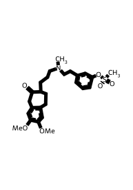 COc1cc2c(cc1OC)CC(=O)C(CCCN(C)CCc1cccc(OS(C)(=O)=O)c1)CC2